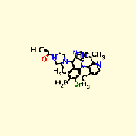 Bc1cc2c(N3CCN(C(=O)C=C)CC3C)c3ncnc-3n(-c3c(C)ccnc3C(C)C)c2cc1Br